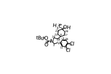 CC(C)(C)OC(=O)N1CC[C@@H]([C@]2(c3ccc(Cl)c(Cl)c3)CC[C@](C)(O)CC2)C1